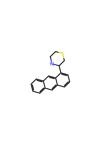 c1ccc2cc3c(C4CSCC[N]4)cccc3cc2c1